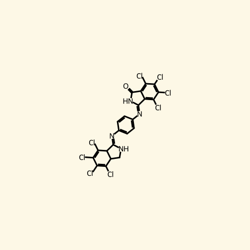 O=C1N/C(=N\c2ccc(/N=C3\NCC4C(Cl)=C(Cl)C(Cl)=C(Cl)C34)cc2)c2c(Cl)c(Cl)c(Cl)c(Cl)c21